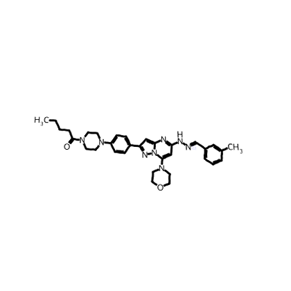 CCCCC(=O)N1CCN(c2ccc(-c3cc4nc(N/N=C/c5cccc(C)c5)cc(N5CCOCC5)n4n3)cc2)CC1